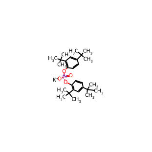 CC(C)(C)c1ccc(OP(=O)([O-])Oc2ccc(C(C)(C)C)cc2C(C)(C)C)c(C(C)(C)C)c1.[K+]